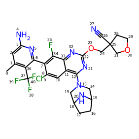 Cc1cc(N)nc(-c2c(Cl)cc3c(N4CC5CCC(C4)N5)nc(OCC4(C#N)CCOC4)nc3c2F)c1C(F)(F)F